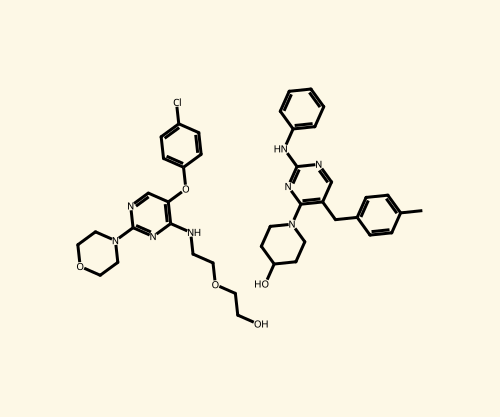 Cc1ccc(Cc2cnc(Nc3ccccc3)nc2N2CCC(O)CC2)cc1.OCCOCCNc1nc(N2CCOCC2)ncc1Oc1ccc(Cl)cc1